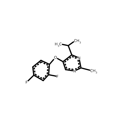 Cc1ncc(Oc2ccc(F)cc2F)c(C(C)C)n1